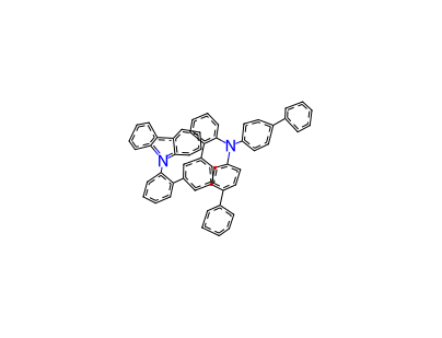 c1ccc(-c2ccc(N(c3ccc(-c4ccccc4)cc3)c3ccccc3-c3cccc(-c4ccccc4-n4c5ccccc5c5ccccc54)c3)cc2)cc1